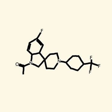 CC(=O)N1CC2(CCN(C3CCC(C(F)(F)F)CC3)CC2)C2C=C(F)C=CC21